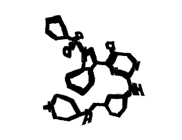 CN1CCC(NCC2CCCC(Nc3ncc(Cl)c(-c4cn(S(=O)(=O)c5ccccc5)c5ccccc45)n3)C2)CC1